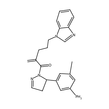 C=C(CCCn1cnc2ccccc21)C(=O)N1N=CCC1c1cc(C)cc(P)c1